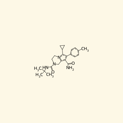 Cc1ccc(-c2c(C(N)=O)c3n(c2C2CC2)CCN(C(=O)NC(C)(C)C)C3)cc1